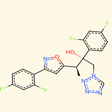 C[C@@H](c1cc(-c2ccc(F)cc2F)no1)[C@](O)(Cn1cnnn1)c1ccc(F)cc1F